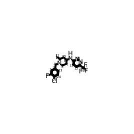 Fc1cc(CN2CCC(Nc3ccc(C(F)(F)F)nn3)CC2I)ccc1Cl